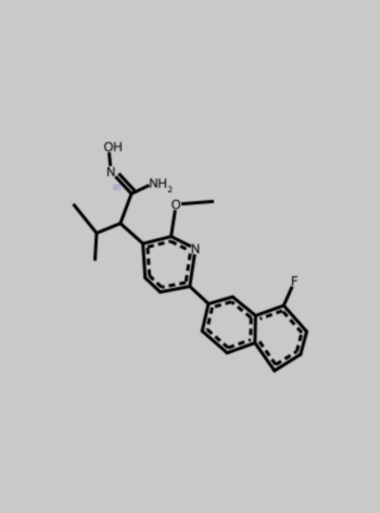 COc1nc(-c2ccc3cccc(F)c3c2)ccc1C(/C(N)=N/O)C(C)C